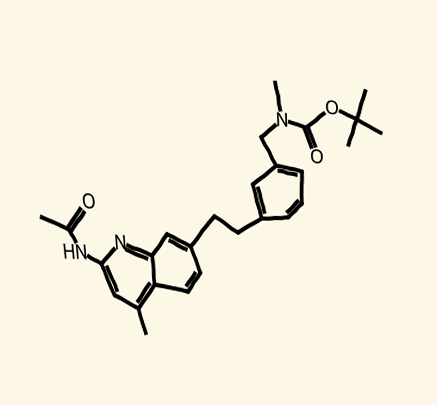 CC(=O)Nc1cc(C)c2ccc(CCc3cccc(CN(C)C(=O)OC(C)(C)C)c3)cc2n1